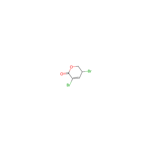 O=C1OCC(Br)C=C1Br